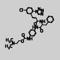 CN(C)CCOC(=O)Nc1ccc(NC(=O)C(Cc2ccccc2)NC(=O)C=Cc2cc(Cl)ccc2-n2cnnn2)cc1